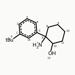 CC(C)(C)c1cccc(C2(N)CCCCC2O)c1